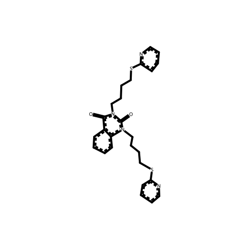 O=c1c2ccccc2n(CCCCSc2ccccn2)c(=O)n1CCCCSc1ccccn1